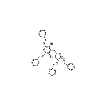 CCc1c(OCc2ccccc2)cc(OCc2ccccc2)c(Br)c1CC1O[C@@H](OCc2ccccc2)[C@H](OCc2ccccc2)O1